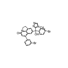 Cn1cnnc1C(O)(c1ccc(Br)cc1)c1cc2c3c(c1)c(-c1cccc(Br)c1)cc(=O)n3CC2